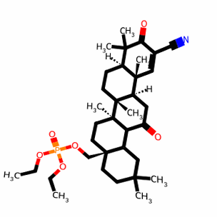 CCOP(=O)(OCC)OC[C@]12CCC(C)(C)CC1C1C(=O)C[C@@H]3[C@@]4(C)C=C(C#N)C(=O)C(C)(C)[C@@H]4CC[C@@]3(C)[C@]1(C)CC2